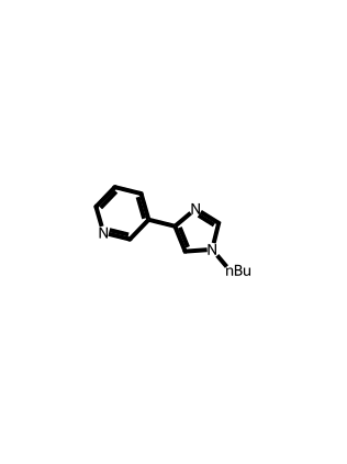 C[CH]CCn1cnc(-c2cccnc2)c1